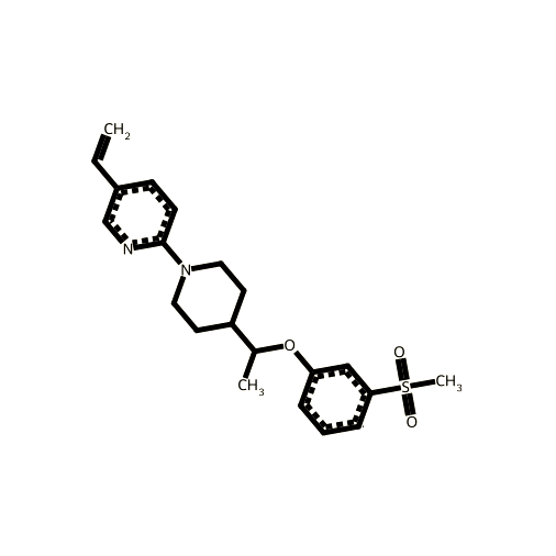 C=Cc1ccc(N2CCC(C(C)Oc3cc[c]c(S(C)(=O)=O)c3)CC2)nc1